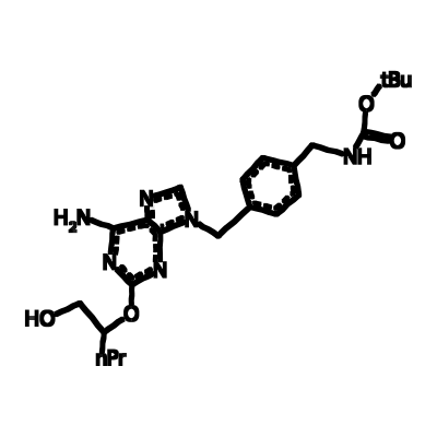 CCCC(CO)Oc1nc(N)c2ncn(Cc3ccc(CNC(=O)OC(C)(C)C)cc3)c2n1